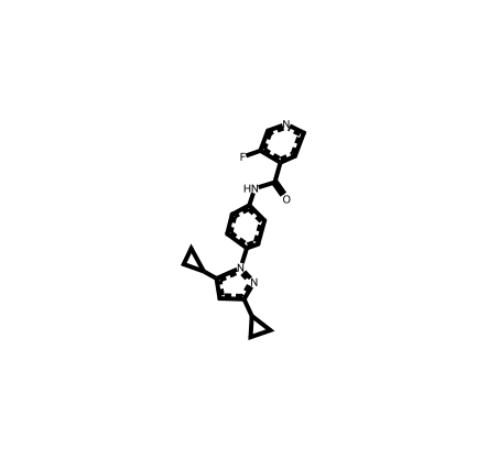 O=C(Nc1ccc(-n2nc(C3CC3)cc2C2CC2)cc1)c1ccncc1F